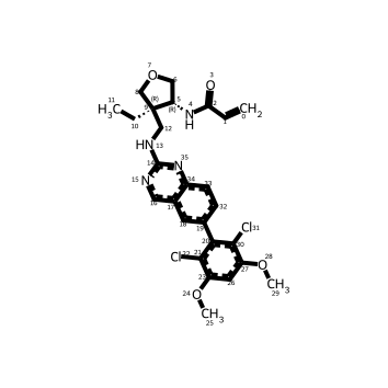 C=CC(=O)N[C@H]1COC[C@]1(CC)CNc1ncc2cc(-c3c(Cl)c(OC)cc(OC)c3Cl)ccc2n1